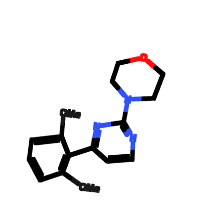 COc1cccc(OC)c1-c1ccnc(N2CCOCC2)n1